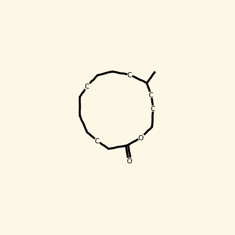 CC1CCCCCCCCCC(=O)OCCC1